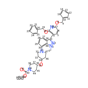 Cn1nc(-c2ccc(OCc3ccccc3)nc2OCc2ccccc2)c2cccc(N3CCC(OC4CCN(C(=O)OC(C)(C)C)CC4)CC3)c21